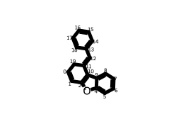 C1=Cc2oc3ccccc3c2C(=Cc2ccccc2)C1